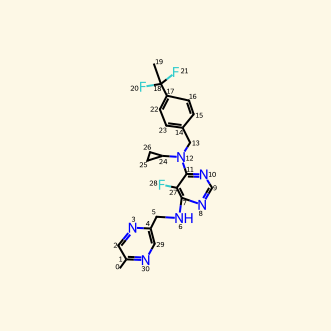 Cc1cnc(CNc2ncnc(N(Cc3ccc(C(C)(F)F)cc3)C3CC3)c2F)cn1